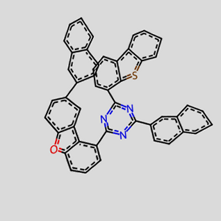 c1ccc2cc(-c3ccc4oc5cccc(-c6nc(-c7ccc8ccccc8c7)nc(-c7cccc8c7sc7ccccc78)n6)c5c4c3)ccc2c1